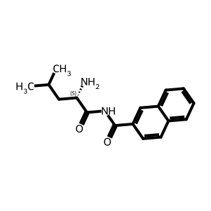 CC(C)C[C@H](N)C(=O)NC(=O)c1ccc2ccccc2c1